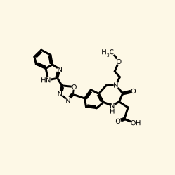 COCCN1Cc2cc(-c3nnc(-c4nc5ccccc5[nH]4)o3)ccc2NC(CC(=O)O)C1=O